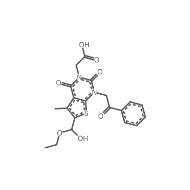 CCOC(O)c1sc2c(c1C)c(=O)n(CC(=O)O)c(=O)n2CC(=O)c1ccccc1